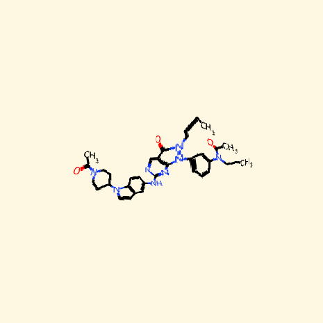 C/C=C\Cn1c(=O)c2cnc(Nc3ccc4c(ccn4C4CCN(C(C)=O)CC4)c3)nc2n1-c1cccc(N(CCC)C(C)=O)c1